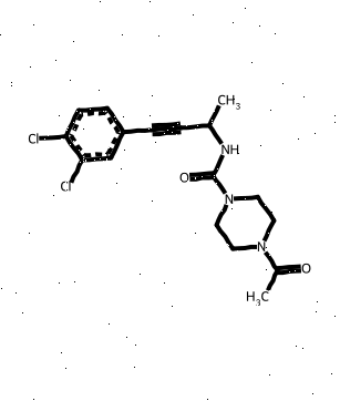 CC(=O)N1CCN(C(=O)NC(C)C#Cc2ccc(Cl)c(Cl)c2)CC1